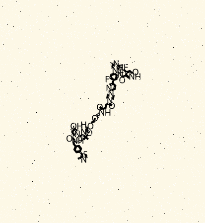 Cc1ncsc1-c1ccc(CNC(=O)[C@@H]2C[C@@H](O)CN2C(=O)C(NC(=O)COCCOCCNC(=O)CCC(=O)N2CCN(c3ccc(-c4cc(NC(=O)c5c[nH]c(=O)cc5C(F)(F)F)c(N5C[C@@H](C)N(C)[C@@H](C)C5)cc4F)cn3)CC2)C(C)(C)C)cc1